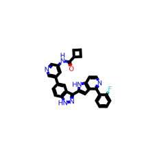 O=C(Nc1cncc(-c2ccc3[nH]nc(-c4cc5c(-c6ccccc6F)nccc5[nH]4)c3c2)c1)C1CCC1